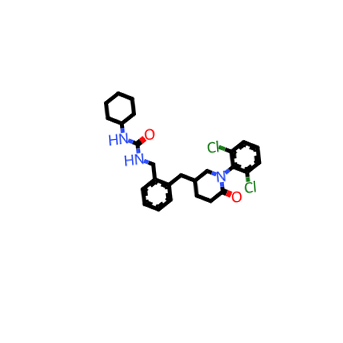 O=C(NCc1ccccc1CC1CCC(=O)N(c2c(Cl)cccc2Cl)C1)NC1CCCCC1